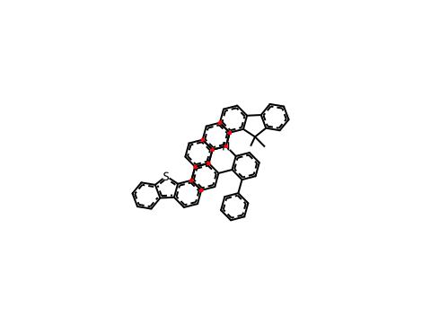 CC1(C)c2ccccc2-c2cccc(N(c3cccc(-c4cccc5c4sc4ccccc45)c3)c3cccc(-c4ccccc4)c3-c3ccccc3-c3ccccc3)c21